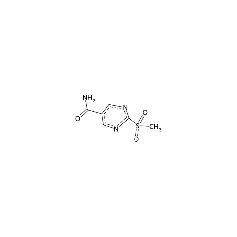 CS(=O)(=O)c1ncc(C(N)=O)cn1